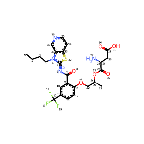 CCCCn1/c(=N/C(=O)c2cc(C(F)(F)F)ccc2OC[C@H](C)OC(=O)[C@@H](N)CC(=O)O)sc2ccncc21